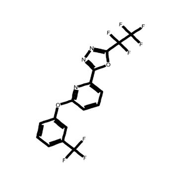 FC(F)(F)c1cccc(Oc2cccc(-c3nnc(C(F)(F)C(F)(F)F)o3)n2)c1